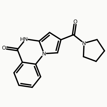 O=C(c1cc2[nH]c(=O)c3ccccc3n2c1)N1CCCC1